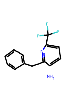 FC(F)(F)c1cccc(Cc2ccccc2)n1.N